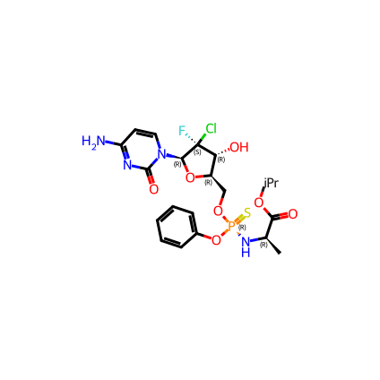 CC(C)OC(=O)[C@@H](C)N[P@@](=S)(OC[C@H]1O[C@@H](n2ccc(N)nc2=O)[C@@](F)(Cl)[C@@H]1O)Oc1ccccc1